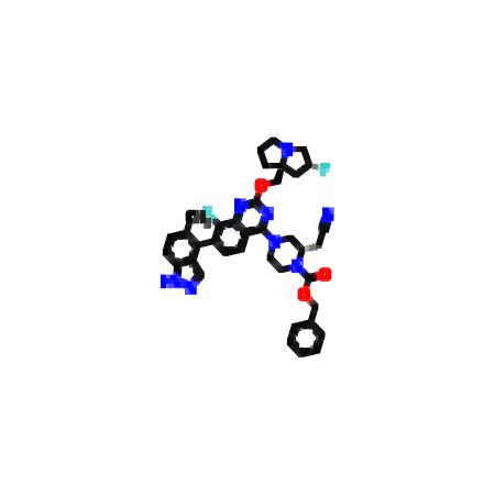 Cc1ccc2[nH]ncc2c1-c1ccc2c(N3CCN(C(=O)OCc4ccccc4)[C@@H](CC#N)C3)nc(OC[C@@]34CCCN3C[C@H](F)C4)nc2c1F